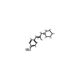 C/C(=C\c1ccc(C(C)(C)C)cc1)CN1CCCCC1